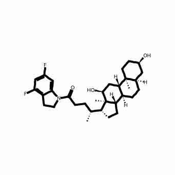 C[C@H](CCC(=O)N1CCc2c(F)cc(F)cc21)[C@H]1CC[C@H]2[C@@H]3CC[C@@H]4C[C@H](O)CC[C@]4(C)[C@H]3C[C@H](O)[C@]12C